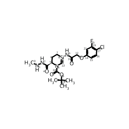 CNNC(=O)[C@H]1CC[Si@H](NC(=O)COc2ccc(Cl)c(F)c2)CN1C(=O)OC(C)(C)C